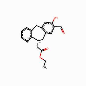 CCOC(=O)C[C@H]1Cc2cc(C=O)c(O)cc2Cc2ccccc21